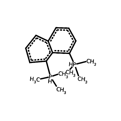 C[PH](C)(C)c1cccc2cccc([PH](C)(C)C)c12